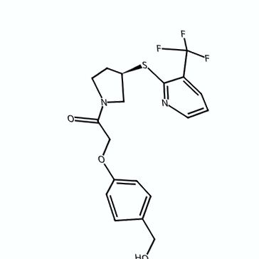 O=C(COc1ccc(CO)cc1)N1CC[C@@H](Sc2ncccc2C(F)(F)F)C1